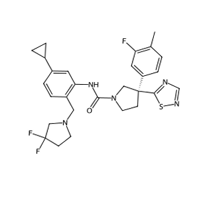 Cc1ccc([C@]2(c3ncns3)CCN(C(=O)Nc3cc(C4CC4)ccc3CN3CCC(F)(F)C3)C2)cc1F